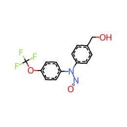 O=NN(c1ccc(CO)cc1)c1ccc(OC(F)(F)F)cc1